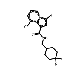 CC1(F)CCC(CNC(=O)c2cc(I)n3cccc(Cl)c23)CC1